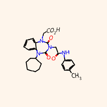 Cc1ccc(NC(=O)CN2C(=O)N(CC(=O)O)c3ccccc3N(C3CCCCCC3)C2=O)cc1